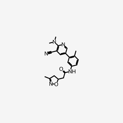 CC1=NOC(CC(=O)Nc2ccc(C)c(-c3cnc(N(C)C)c(C#N)c3)c2)C1